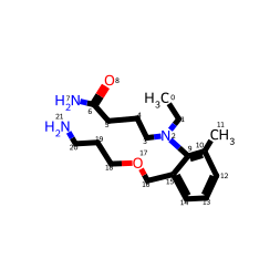 CCN(CCCC(N)=O)c1c(C)cccc1COCCCN